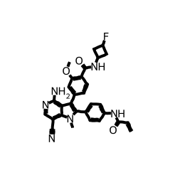 C=CC(=O)Nc1ccc(-c2c(-c3ccc(C(=O)NC4CC(F)C4)c(OC)c3)c3c(N)ncc(C#N)c3n2C)cc1